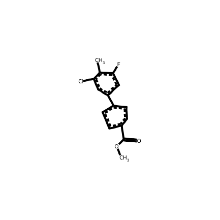 COC(=O)c1ccc(-c2cc(F)c(C)c(Cl)c2)cc1